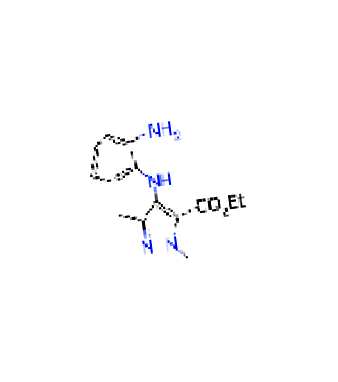 CCOC(=O)c1c(Nc2ccccc2N)c(C)nn1C